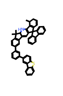 CC1CC=CC2=C1C1=C(C=C3c4cc(-c5cccc(-c6ccc7sc8ccccc8c7c6)c5)ccc4C(C)(C)C3N1)C21c2ccccc2-c2ccccc21